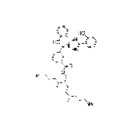 CC(C)CCCC(C)CCC(COC(=O)C1=CC=CC(/C=N/C(=N\C(=N)c2ccccc2O)c2ccccc2O)C1)C(C)CCCC(C)C